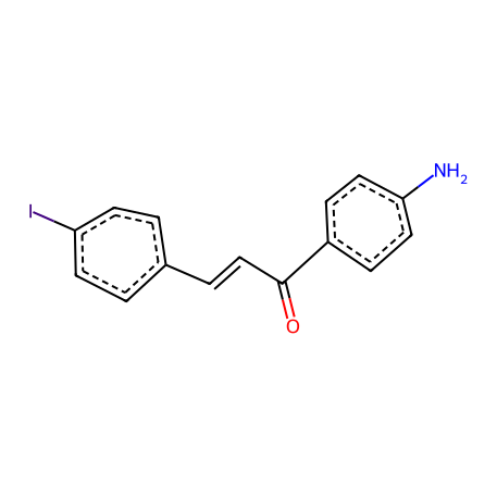 Nc1ccc(C(=O)/C=C/c2ccc(I)cc2)cc1